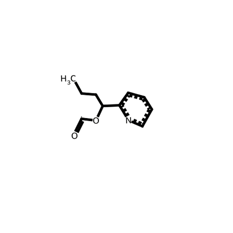 CCCC(O[C]=O)c1ccccn1